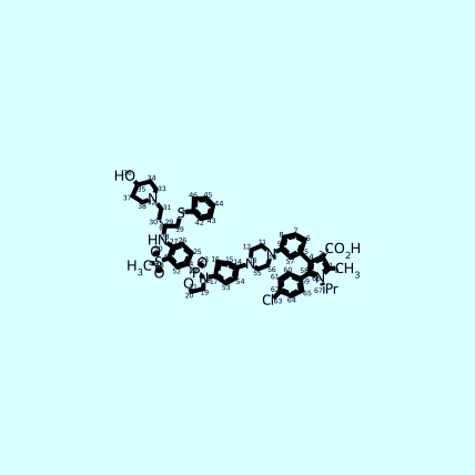 Cc1c(C(=O)O)c(-c2cccc(N3CCN(c4ccc(N5CCO[P@]5(=O)c5ccc(N[C@H](CCN6CCC(O)CC6)CSc6ccccc6)c(S(C)(=O)=O)c5)cc4)CC3)c2)c(-c2ccc(Cl)cc2)n1C(C)C